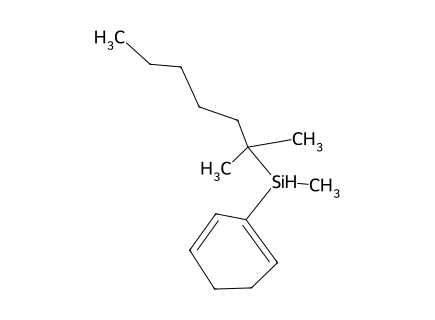 CCCCCC(C)(C)[SiH](C)C1=CCCC=C1